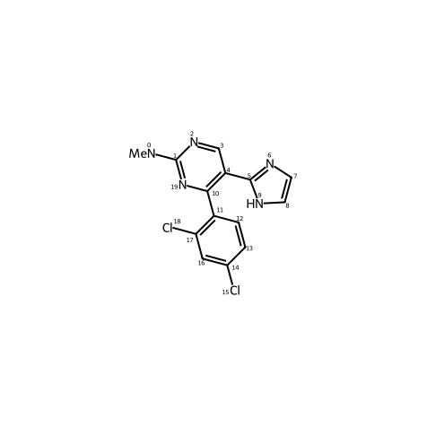 CNc1ncc(-c2ncc[nH]2)c(-c2ccc(Cl)cc2Cl)n1